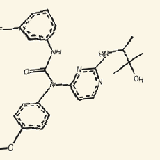 COc1ccc(N(C(=O)Nc2cccc(F)c2)c2ccnc(N[C@@H](C)C(C)(C)O)n2)cc1